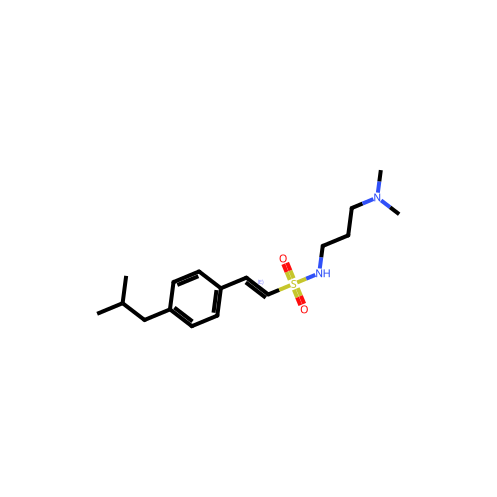 CC(C)Cc1ccc(/C=C/S(=O)(=O)NCCCN(C)C)cc1